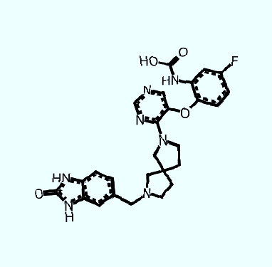 O=C(O)Nc1cc(F)ccc1Oc1cncnc1N1CCC2(CCN(Cc3ccc4[nH]c(=O)[nH]c4c3)C2)C1